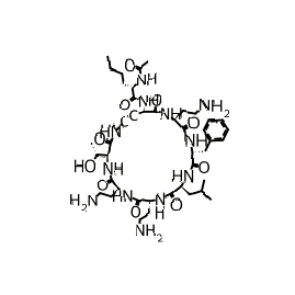 CCCC[C@H](NC(C)=O)C(=O)N[C@H]1CCNC(=O)[C@H]([C@@H](C)O)NC(=O)[C@H](CCN)NC(=O)[C@H](CCN)NC(=O)[C@H](CC(C)C)NC(=O)[C@@H](Cc2ccccc2)NC(=O)[C@H](CCN)NC1=O